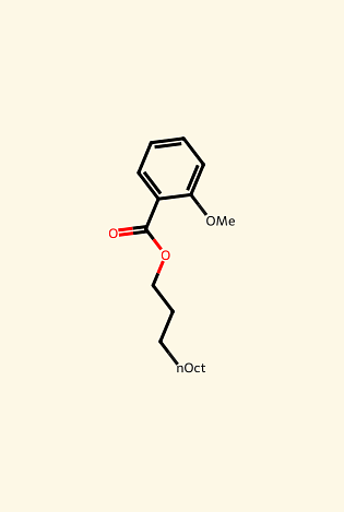 CCCCCCCCCCCOC(=O)c1ccccc1OC